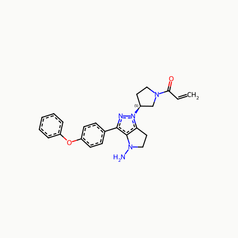 C=CC(=O)N1CC[C@H](n2nc(-c3ccc(Oc4ccccc4)cc3)c3c2CCN3N)C1